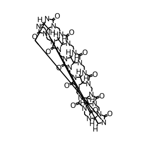 O=C1N2CN3C(=O)N4CN5C(=O)N6CN7C(=O)N8CN9C(=O)N%10CN%11C(=O)N%12CN1[C@H]1[C@@H]2N2CN%13C(=O)N(CN%14C(=O)N(CN%15C(=O)N(CN%16C(=O)N(CN%17C(=O)N(CN1C2=O)[C@H]%12[C@@H]%17%11)[C@H]%10[C@@H]%169)[C@H]8[C@@H]%157)[C@H]6[C@@H]%145)[C@H]4[C@@H]%133